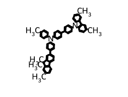 Cc1ccc(N(c2ccc(-c3ccc(-n4c5ccc(C)cc5c5cc(C)ccc54)cc3)cc2)c2ccc(-c3ccc4c(c3)C(C)(C)c3cc(C)ccc3-4)cc2)cc1